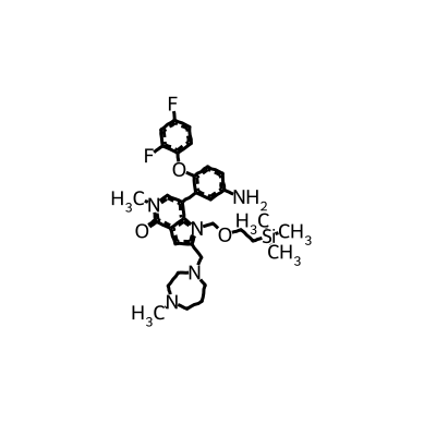 CN1CCCN(Cc2cc3c(=O)n(C)cc(-c4cc(N)ccc4Oc4ccc(F)cc4F)c3n2COCC[Si](C)(C)C)CC1